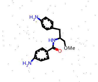 COCC(Cc1ccc(N)cc1)NC(=O)c1ccc(N)cc1